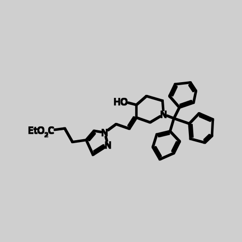 CCOC(=O)CCc1cnn(C/C=C2/CN(C(c3ccccc3)(c3ccccc3)c3ccccc3)CCC2O)c1